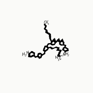 CCCCCCCCc1cc(Cc2ccc(Cc3ccc(N)cc3)cc2)ccc1Cc1ccc(Cc2ccc(Cc3ccc(N)cc3)cc2)cc1CCCCCCCC